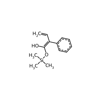 C=CC(=C(O)O[Si](C)(C)C)c1ccccc1